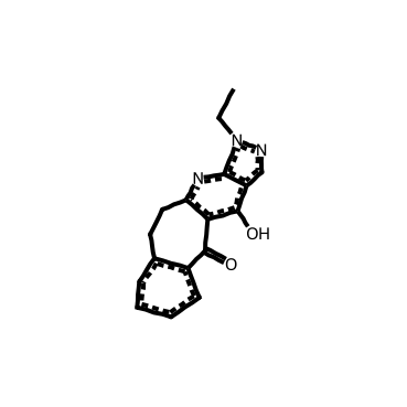 CCn1ncc2c(O)c3c(nc21)CCc1ccccc1C3=O